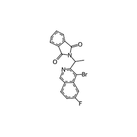 CC(c1ncc2ccc(F)cc2c1Br)N1C(=O)c2ccccc2C1=O